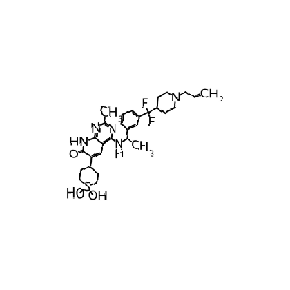 C=CCN1CCC(C(F)(F)c2cccc(C(C)Nc3nc(C)nc4[nH]c(=O)c(C5CCS(O)(O)CC5)cc34)c2)CC1